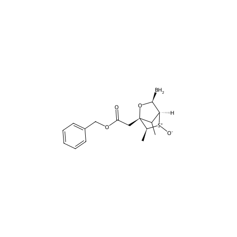 B[C@@H]1O[C@]2(CC(=O)OCc3ccccc3)C(C)[C@@H]1[S+]([O-])[C@H]2C